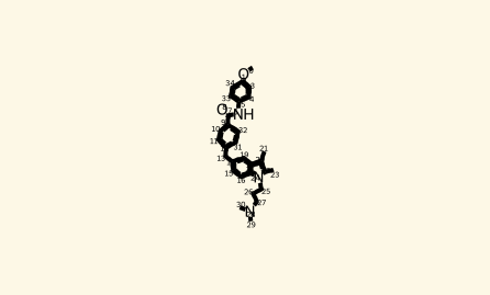 COc1ccc(NC(=O)c2ccc(Cc3ccc4c(c3)c(C)c(C)n4CCCN(C)C)cc2)cc1